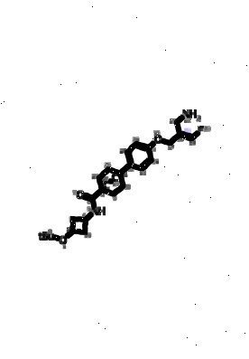 CC(C)(C)OC1CC(NC(=O)C23CCC(c4ccc(OC/C(=C/F)CN)cc4)(CC2)CC3)C1